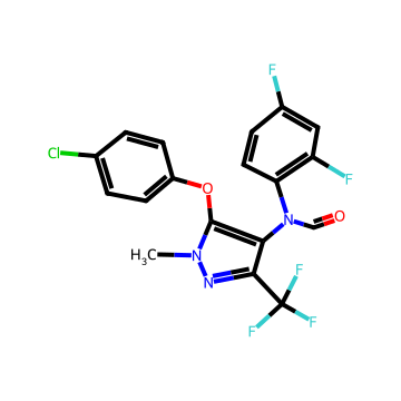 Cn1nc(C(F)(F)F)c(N(C=O)c2ccc(F)cc2F)c1Oc1ccc(Cl)cc1